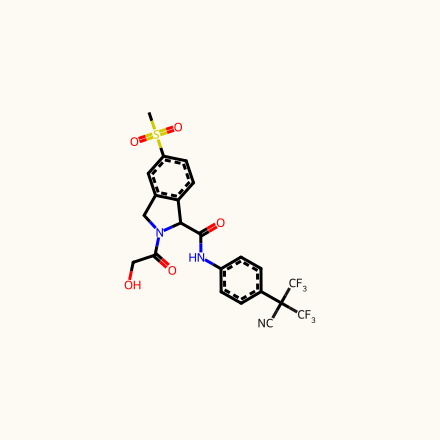 CS(=O)(=O)c1ccc2c(c1)CN(C(=O)CO)C2C(=O)Nc1ccc(C(C#N)(C(F)(F)F)C(F)(F)F)cc1